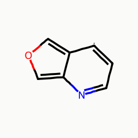 [c]1ccnc2cocc12